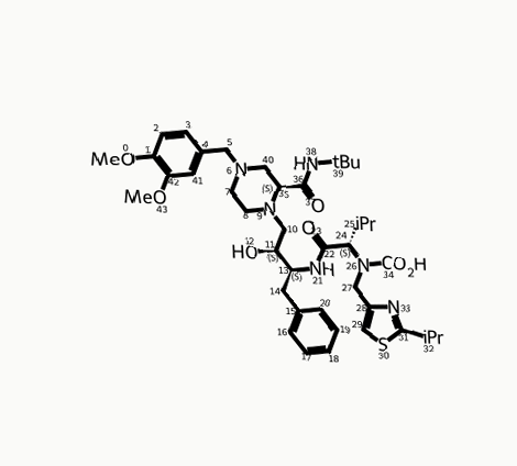 COc1ccc(CN2CCN(C[C@H](O)[C@H](Cc3ccccc3)NC(=O)[C@H](C(C)C)N(Cc3csc(C(C)C)n3)C(=O)O)[C@H](C(=O)NC(C)(C)C)C2)cc1OC